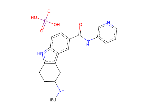 CCC(C)NC1CCc2[nH]c3ccc(C(=O)Nc4cccnc4)cc3c2C1.O=P(O)(O)O